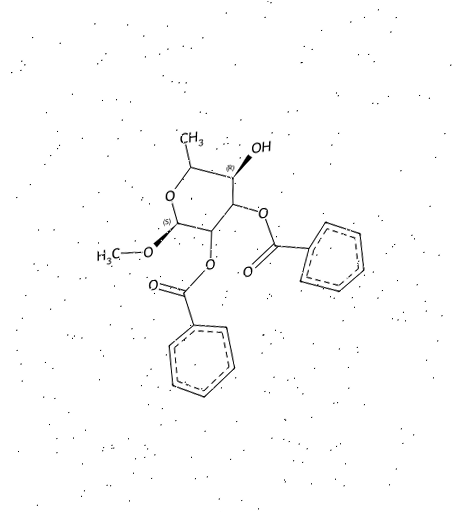 CO[C@H]1OC(C)[C@@H](O)C(OC(=O)c2ccccc2)C1OC(=O)c1ccccc1